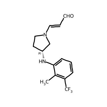 Cc1c(N[C@@H]2CCN(C=CC=O)C2)cccc1C(F)(F)F